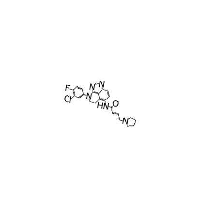 O=C(/C=C/CN1CCCC1)Nc1ccc2ncnc3c2c1CCN3c1ccc(F)c(Cl)c1